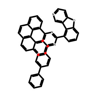 c1ccc(-c2ccc(-c3nc(-c4cccc5oc6ccncc6c45)nc(-c4cccc5ccc6ccc7ncccc7c6c45)n3)cc2)cc1